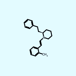 Cc1ccccc1/C=C/N1CCCC[C@@H]1CCc1ccccc1